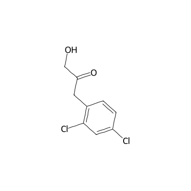 O=C(CO)Cc1ccc(Cl)cc1Cl